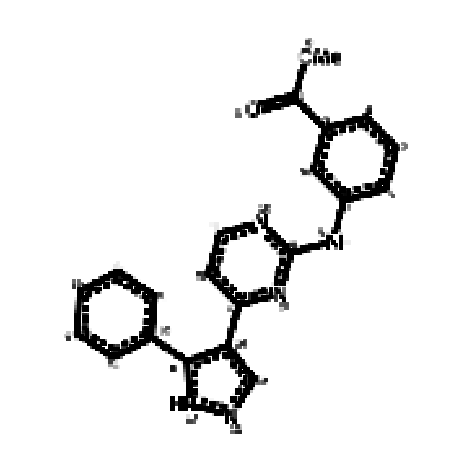 COC(=O)c1cccc(Nc2nccc(-c3cn[nH]c3-c3ccccc3)n2)c1